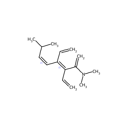 C=CC(/C=C\C(C)C)=C(/C=C)C(=C)N(C)C